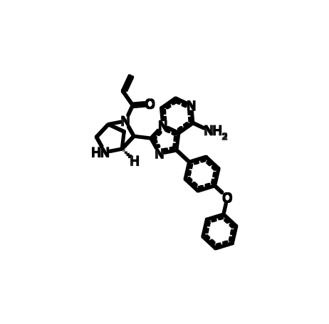 C=CC(=O)N1C2CN[C@@H](C2)C1c1nc(-c2ccc(Oc3ccccc3)cc2)c2c(N)nccn12